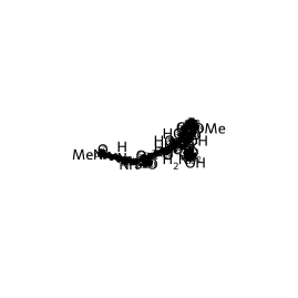 CNC(=O)CCCCCNC(=N)CCCSC1CC(=O)N(CCCCCC(=O)N/N=C(\CO)[C@@]2(O)Cc3c(O)c4c(c(O)c3[C@H](O[C@@H]3C[C@@H](N)[C@@H](O)[C@@H](C)O3)C2)C(=O)c2c(OC)cccc2C4=O)C1=O